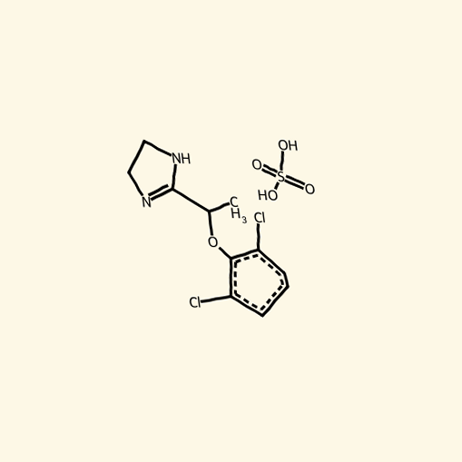 CC(Oc1c(Cl)cccc1Cl)C1=NCCN1.O=S(=O)(O)O